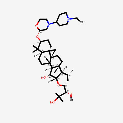 CCO[C@@H]([C@H]1C[C@@H](C)[C@H]2[C@H](O1)[C@H](O)[C@@]1(C)[C@@H]3CC[C@H]4C(C)(C)[C@@H](O[C@H]5CN(C6CCN(CC(C)(C)C)CC6)CCO5)CC[C@@]45C[C@@]35CC[C@]21C)C(C)(C)O